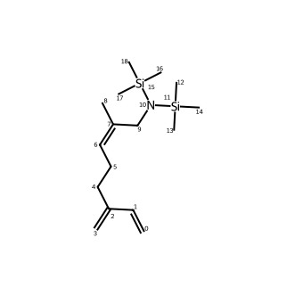 C=CC(=C)CC/C=C(/C)CN([Si](C)(C)C)[Si](C)(C)C